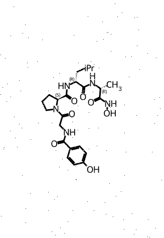 CC(C)C[C@@H](NC(=O)[C@@H]1CCCN1C(=O)CNC(=O)c1ccc(O)cc1)C(=O)N[C@H](C)C(=O)NO